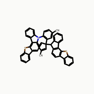 N#CC1=CC(c2cc(C#N)ccc2-n2c3ccccc3c3c4sc5ccccc5c4ccc32)(C2c3ccccc3-c3c2ccc2c3sc3ccccc32)C=C1